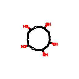 OC1CCC(O)CCC(O)CC(O)CCC(O)CC1